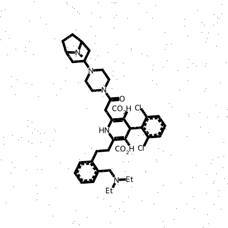 CCN(CC)Cc1ccccc1CCC1=C(C(=O)O)C(c2c(Cl)cccc2Cl)C(C(=O)O)=C(CC(=O)N2CCN(C3CC4CCC(C3)N4C)CC2)N1